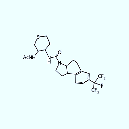 CC(=O)NC1CSCCC1NC(=O)N1CCC2c3ccc(C(F)(C(F)(F)F)C(F)(F)F)cc3CCC21